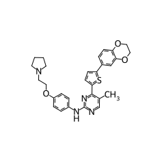 Cc1cnc(Nc2ccc(OCCN3CCCC3)cc2)nc1-c1ccc(-c2ccc3c(c2)OCCO3)s1